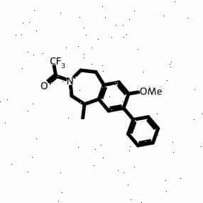 COc1cc2c(cc1-c1ccccc1)C(C)CN(C(=O)C(F)(F)F)CC2